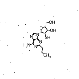 CCCc1nc(N)c2ncn([C@@H]3O[C@H](CO)[C@@H](O)[C@H]3S)c2n1